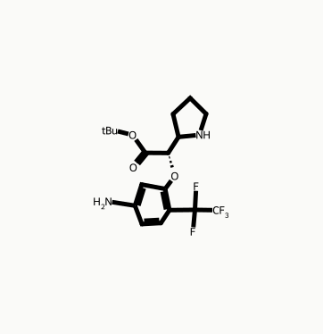 CC(C)(C)OC(=O)[C@@H](Oc1cc(N)ccc1C(F)(F)C(F)(F)F)C1CCCN1